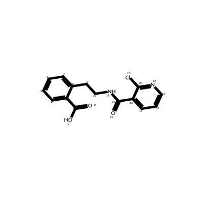 O=C(O)c1ccccc1CCNC(=O)c1cccnc1Cl